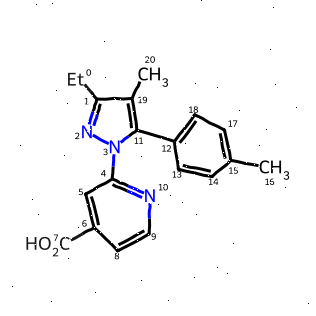 CCc1nn(-c2cc(C(=O)O)ccn2)c(-c2ccc(C)cc2)c1C